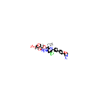 N#Cc1c(O[C@@H]2CO[C@H]3[C@@H]2OC[C@H]3O)[nH]c2cc(Cl)c(-c3ccc(-c4ccc(C5CNCCO5)cc4)cc3)nc12